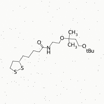 CC(C)(C)OCCC(C)(C)OCCNC(=O)CCCCC1CCSS1